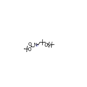 CC(C)(C/C=N/CC(=O)OC(C)(C)C)CO[Si](C)(C)C(C)(C)C